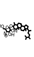 CC(C)C(C)CCC(C)C1CCC2C3=CCC4C(C)C(OC5OC(CO)C(N=O)C(O)C5O)CCC4(C)C3CCC21C